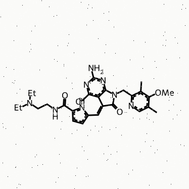 CCN(CC)CCNC(=O)c1ccc(/C=C2/C(=O)N(Cc3ncc(C)c(OC)c3C)c3nc(N)nc(Cl)c32)[nH]1